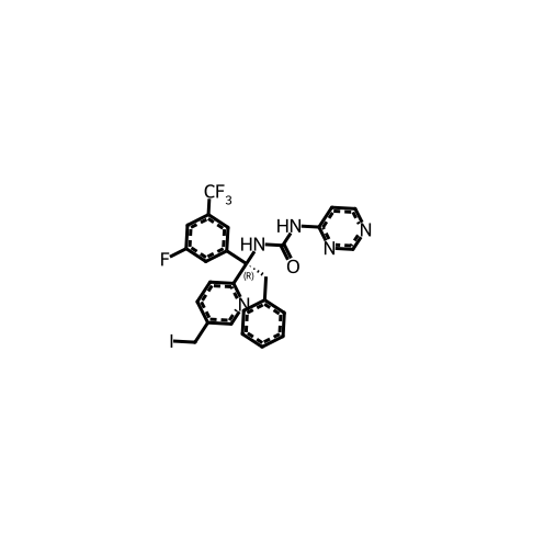 O=C(Nc1ccncn1)N[C@](Cc1ccccc1)(c1cc(F)cc(C(F)(F)F)c1)c1ccc(CI)cn1